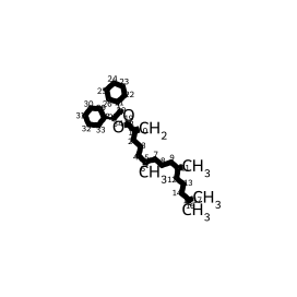 C=C(CCCC(C)CCCC(C)CCCC(C)C)C1O[C@@H](C2CCCCC2)[C@H](C2CCCCC2)O1